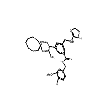 COc1cc(CNC(=O)c2cc(CNC3=NCCN3)cc(C3CNC4(CCCCCCC4)CC3C)c2)ccc1Cl